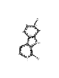 CC(=O)c1nccc2c1[nH]c1cc(Cl)ccc12